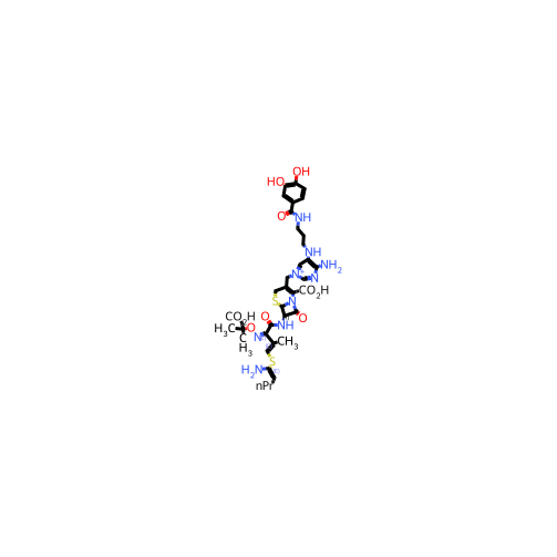 CCC/C=C(\N)S/C=C(C)/C(=N/OC(C)(C)C(=O)O)C(=O)N[C@@H]1C(=O)N2C(C(=O)O)=C(C[n+]3cnc(N)c(NCCCNC(=O)c4ccc(O)c(O)c4)c3)CSC12